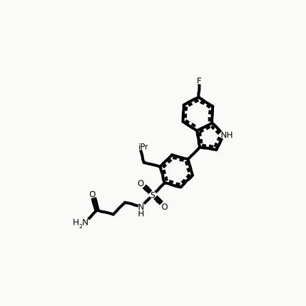 CC(C)Cc1cc(-c2c[nH]c3cc(F)ccc23)ccc1S(=O)(=O)NCCC(N)=O